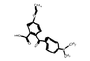 CCOc1ccc(C(=O)c2ccc(N(C)C)cc2)c(C(=O)O)c1